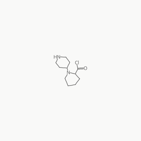 O=C(Cl)C1CCCCN1C1CCNCC1